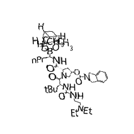 CCC[C@H](NC(=O)[C@@H]1C[C@@H](OC(=O)N2Cc3ccccc3C2)CN1C(=O)[C@@H](NC(=O)NCCN(CC)CC)C(C)(C)C)B1O[C@@H]2C[C@@H]3C[C@@H](C3(C)C)[C@]2(C)O1